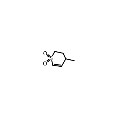 CC1C=CS(=O)(=O)CC1